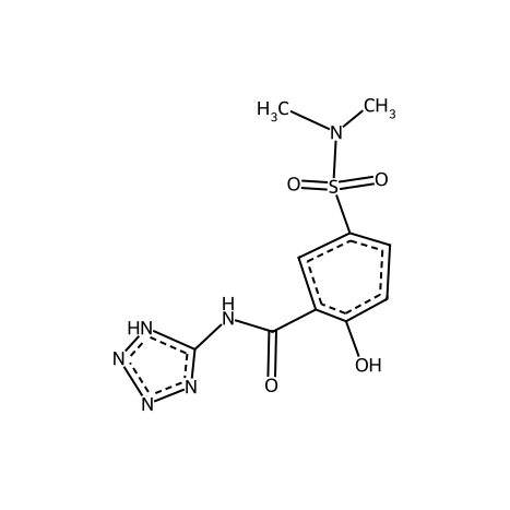 CN(C)S(=O)(=O)c1ccc(O)c(C(=O)Nc2nnn[nH]2)c1